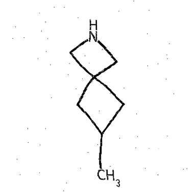 CC1CC2(CNC2)C1